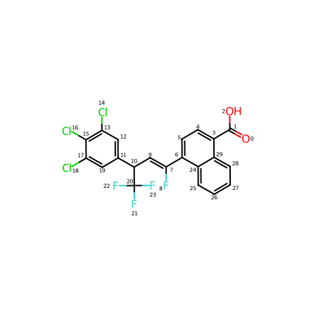 O=C(O)c1ccc(C(F)=CC(c2cc(Cl)c(Cl)c(Cl)c2)C(F)(F)F)c2ccccc12